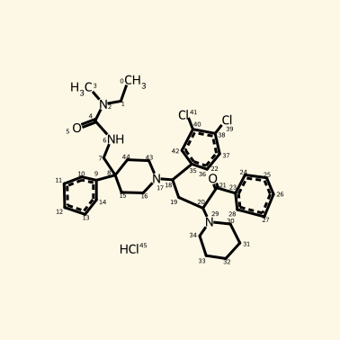 CCN(C)C(=O)NCC1(c2ccccc2)CCN(C(CC(C(=O)c2ccccc2)N2CCCCC2)c2ccc(Cl)c(Cl)c2)CC1.Cl